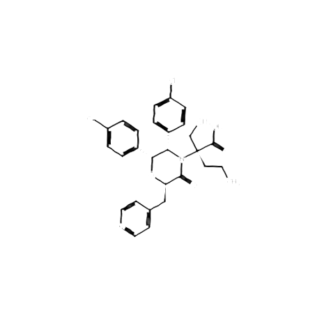 CCC[C@@](CC)(C(=O)O)N1C(=O)[C@@H](Cc2ccncc2)O[C@H](c2ccc(Cl)cc2)[C@@H]1c1ccc(Cl)cc1